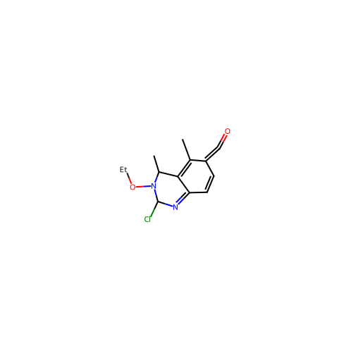 CCON1C(Cl)N=c2ccc(=C=O)c(C)c2C1C